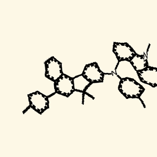 Cc1ccc(-c2cc3c(c4ccccc24)-c2ccc(N(c4ccc(C)cc4)c4cccc5c4c4ccccc4n5C)cc2C3(C)C)cc1